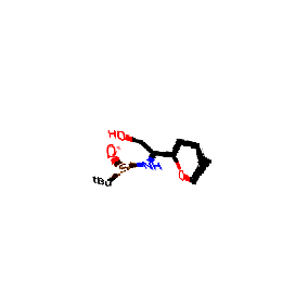 CC(C)(C)[S+]([O-])NC(CO)C1CCC=CO1